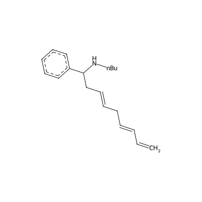 C=CC=CCC=CCC(NCCCC)c1ccccc1